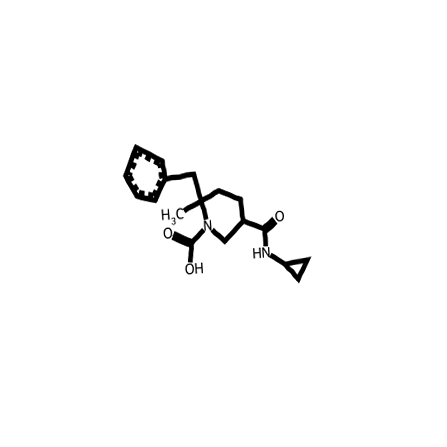 CC1(Cc2ccccc2)CCC(C(=O)NC2CC2)CN1C(=O)O